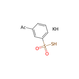 CC(=O)c1cccc(S(=O)(=O)S)c1.[KH]